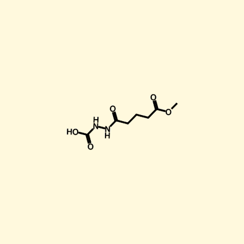 COC(=O)CCCC(=O)NNC(=O)O